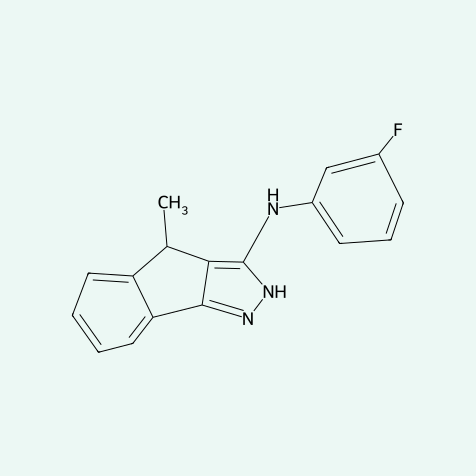 CC1c2ccccc2-c2n[nH]c(Nc3cccc(F)c3)c21